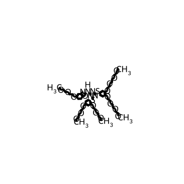 COCCOCCOCCOc1ccc(Sc2nc(Nc3nc4cc(OCCOCCOC)ccc4o3)nc(Sc3ccc(OCCOCCOC)cc3OCCOCCOC)n2)cc1OCCOCCOCCOC